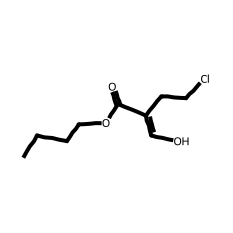 CCCCOC(=O)C(=CO)CCCl